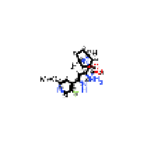 COc1cc(-c2cc(C(=O)N3[C@@H]4CC[C@H]3C[C@H](C(N)=O)C4)n[nH]2)c(F)cn1